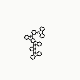 c1cc(-n2c3ccccc3c3ccccc32)cc(-n2c3ccccc3c3cc4c(cc32)c2ccccc2n4-c2cccc(-n3c4ccccc4c4ccccc43)n2)c1